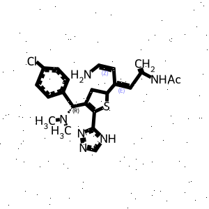 C=C(/C=C(\C=C/N)C1CC([C@@H](c2ccc(Cl)cc2)N(C)C)=C(c2nnc[nH]2)S1)NC(C)=O